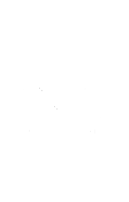 CC1(C)c2ccccc2-c2c(N(c3ccccc3)c3c4nc(-c5ccccc5)oc4cc4oc5ccccc5c34)cccc21